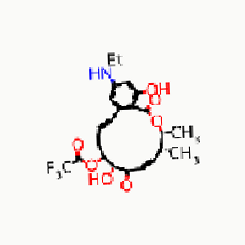 CCNc1cc(O)c2c(c1)/C=C/C[C@H](OC(=O)C(F)(F)F)[C@H](O)C(=O)/C=C\[C@@H](C)[C@H](C)OC2=O